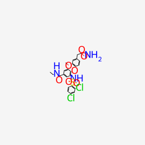 CCNC(=O)c1ccc(Oc2ccc(CC(=O)ON)cc2OC)c(NS(=O)(=O)c2ccc(Cl)cc2Cl)c1